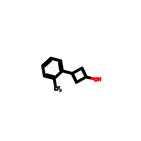 OC1CC(c2ccccc2C(F)(F)F)C1